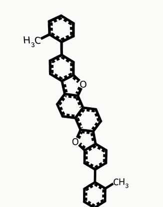 Cc1ccccc1-c1ccc2c(c1)oc1c2ccc2c1ccc1c3ccc(-c4ccccc4C)cc3oc12